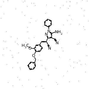 COc1cc(C=C(C#N)c2nn(-c3ccccc3)c(N)c2C#N)ccc1OCc1ccccc1